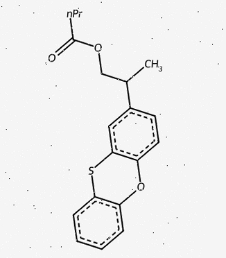 CCCC(=O)OCC(C)c1ccc2c(c1)Sc1ccccc1O2